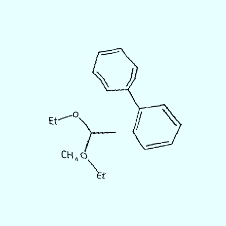 C.CCOC(C)OCC.c1ccc(-c2ccccc2)cc1